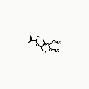 C=C(C)C(=O)OC(CC)C(C)[SiH](OCC)OCC